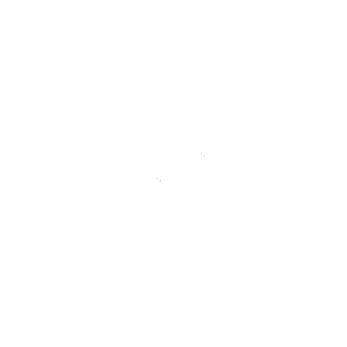 Cc1ccccc1N=CCc1ccccn1